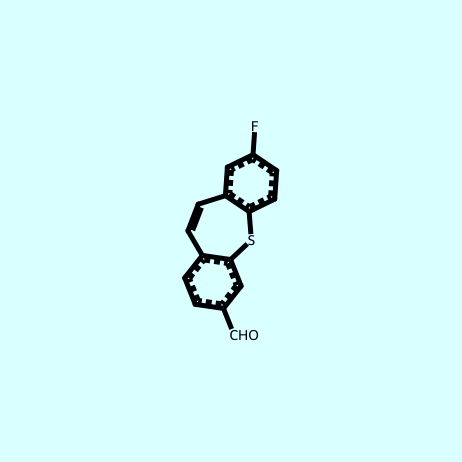 O=Cc1ccc2c(c1)Sc1ccc(F)cc1C=C2